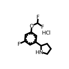 Cl.Fc1cc(OC(F)F)cc(C2CCCN2)c1